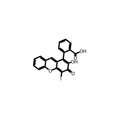 O=C(O)c1ccccc1-c1c2cc3ccccc3oc-2c(I)c(=O)c1O